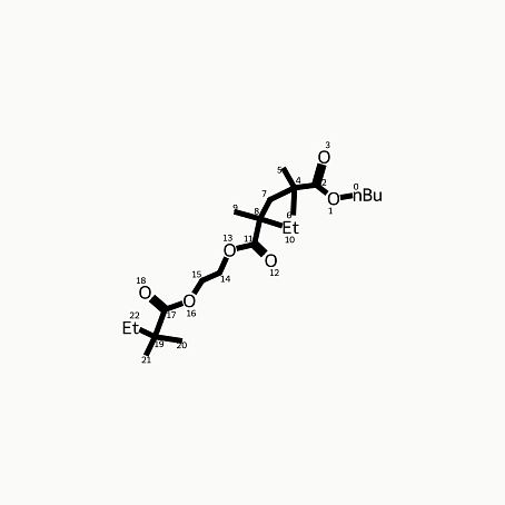 CCCCOC(=O)C(C)(C)CC(C)(CC)C(=O)OCCOC(=O)C(C)(C)CC